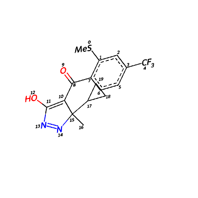 CSc1cc(C(F)(F)F)ccc1C(=O)C1=C(O)N=NC1(C)C1CC1